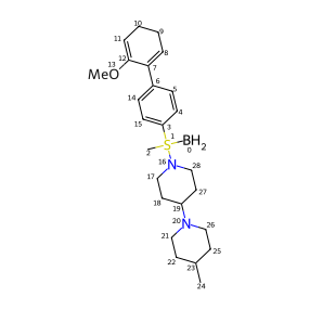 BS(C)(c1ccc(C2=CCCC=C2OC)cc1)N1CCC(N2CCC(C)CC2)CC1